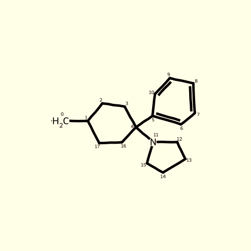 [CH2]C1CCC(c2ccccc2)(N2CCCC2)CC1